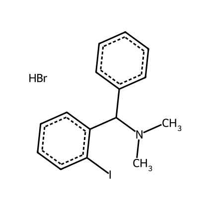 Br.CN(C)C(c1ccccc1)c1ccccc1I